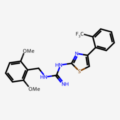 COc1cccc(OC)c1CNC(=N)Nc1nc(-c2ccccc2C(F)(F)F)cs1